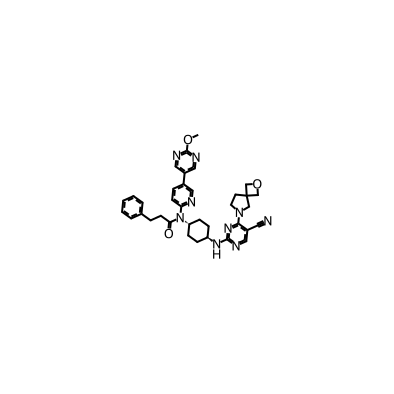 COc1ncc(-c2ccc(N(C(=O)CCc3ccccc3)[C@H]3CC[C@H](Nc4ncc(C#N)c(N5CCC6(COC6)C5)n4)CC3)nc2)cn1